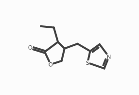 CCC1C(=O)OCC1Cc1cncs1